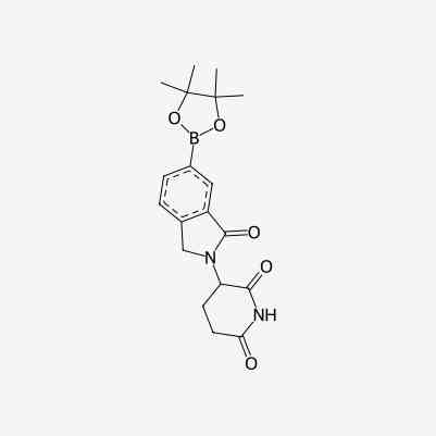 CC1(C)OB(c2ccc3c(c2)C(=O)N(C2CCC(=O)NC2=O)C3)OC1(C)C